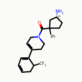 CC(C)C1(C(=O)N2CC=C(C3=CC=CCC3C(F)(F)F)CC2)CC[C@@H](N)C1